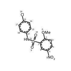 COc1ncc([N+](=O)[O-])cc1S(=O)(=O)Nc1ccc(Cl)cc1